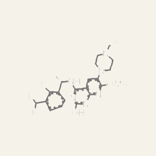 COc1nc2nc(O)nc(N[C@H](C)c3cccc(C(F)F)c3F)c2cc1N1CCN(C(C)C)CC1